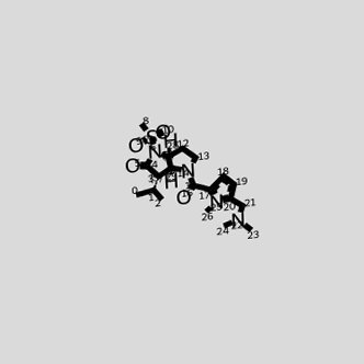 CC(C)[C@@H]1C(=O)N(S(C)(=O)=O)[C@@H]2CCN(C(=O)c3ccc(CN(C)C)n3C)[C@H]21